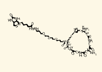 NN[C@H]1Cc2cn(nn2)CCCC[C@@H](C(=O)NCCCOCCOCCOCCCNNC(=O)CCCC[C@H]2SCC3NC(=O)NC32)NC(=O)CNC(=O)CNC(=O)CN(N)C(=O)CNC(=O)CNC1=O